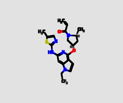 C=CC(=O)N1C[C@@H](Oc2nc(Nc3ncc(C)s3)cc3c2ccn3CC(F)(F)F)C[C@H]1C